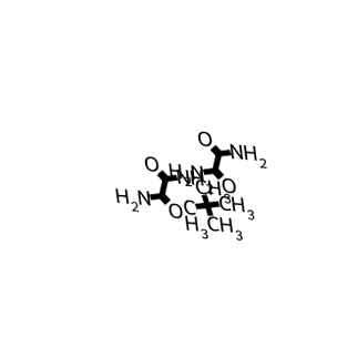 CC(C)(C)C.NC(=O)C(N)=O.NC(=O)C(N)=O